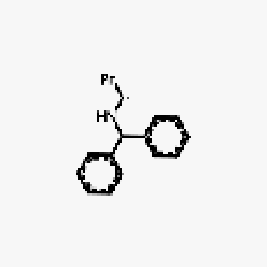 CC(C)[CH]NC(c1ccccc1)c1ccccc1